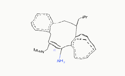 CN/C1=C(\N)c2ccccc2C(C(C)C)Cc2ccccc21